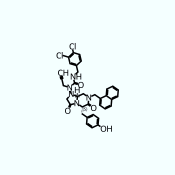 C#CCN(C(=O)NCc1ccc(Cl)c(Cl)c1)N1CC(=O)N2[C@@H](Cc3ccc(O)cc3)C(=O)N(Cc3cccc4ccccc34)C[C@@H]21